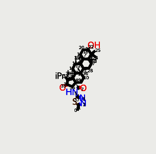 Cc1nnc(NC(=O)[C@@]23CC[C@]4(C)[C@H](CC[C@@H]5[C@@]6(C)CC[C@H](O)C(C)(C)[C@@H]6CC[C@]54C)C2=C(C(C)C)C(=O)C3)s1